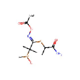 CNC(=O)ON=C(SC(C)C(N)=O)C(C)(C)[S+](C)[O-]